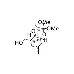 CO[C@@]1(C)O[C@@H]2[C@@H](CO)CNC[C@H]2O[C@]1(C)OC